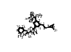 CCCN(c1cc(C=CC2CC2C)cc(-c2nnc([C@@](C)(N)Cc3ccccc3)o2)c1)S(C)(=O)=O